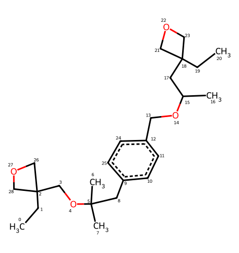 CCC1(COC(C)(C)Cc2ccc(COC(C)CC3(CC)COC3)cc2)COC1